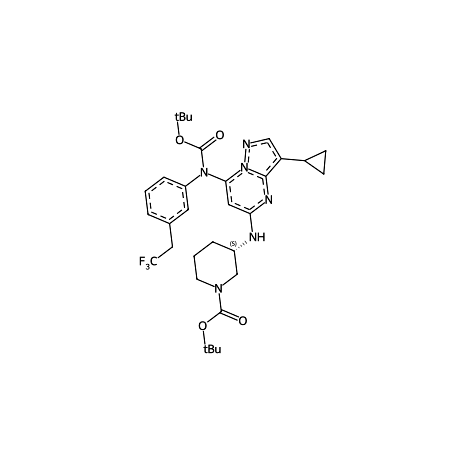 CC(C)(C)OC(=O)N1CCC[C@H](Nc2cc(N(C(=O)OC(C)(C)C)c3cccc(CC(F)(F)F)c3)n3ncc(C4CC4)c3n2)C1